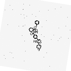 CN1CCN(C2NC(c3ccc(C(=O)NC4(C(=O)OCc5ccccc5)CCCCC4)cc3)=CS2)CC1